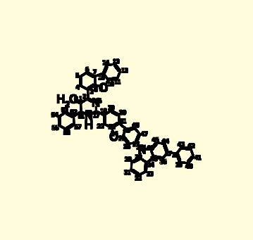 C=C1C(c2cccc3c2oc2ccccc23)=NC(c2ccc3c(c2)oc2cc(-n4c5ccccc5c5cc(-c6ccccc6)ccc54)ccc23)NC1c1ccccc1